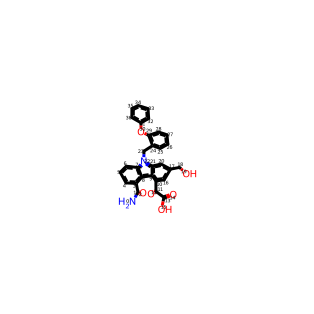 NC(=O)c1cccc2c1c1c(C(=O)C(=O)O)cc(CO)cc1n2Cc1ccccc1Oc1ccccc1